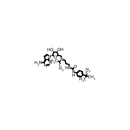 CC(C)N(CCCNC(=O)Nc1ccc(C(C)(C)C)cc1)CC1O[C@@H](n2ccc3c(N)ncnc32)[C@H](O)[C@@H]1O